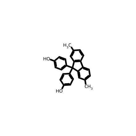 Cc1ccc2c(c1)C(c1ccc(O)cc1)(c1ccc(O)cc1)c1cc(C)ccc1-2